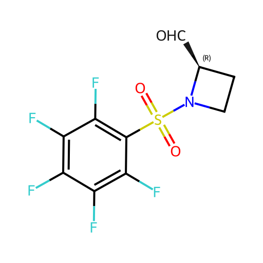 O=C[C@H]1CCN1S(=O)(=O)c1c(F)c(F)c(F)c(F)c1F